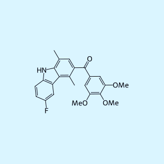 COc1cc(C(=O)c2cc(C)c3[nH]c4ccc(F)cc4c3c2C)cc(OC)c1OC